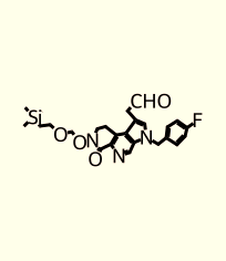 C[Si](C)(C)CCOCON1CCc2c(ncc3c2c(CC=O)cn3Cc2ccc(F)cc2)C1=O